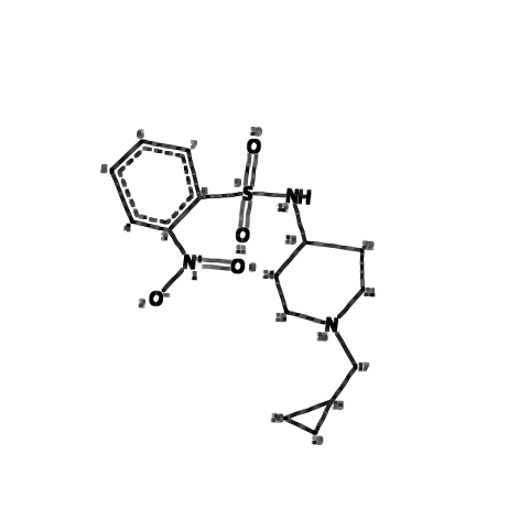 O=[N+]([O-])c1ccccc1S(=O)(=O)NC1CCN(CC2CC2)CC1